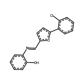 Oc1ccccc1N=Cc1ccc(-c2ccccc2Cl)o1